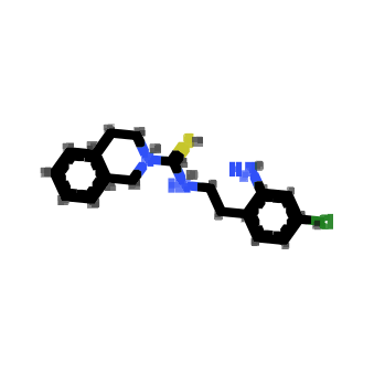 Nc1cc(Cl)ccc1CCNC(=S)N1CCc2ccccc2C1